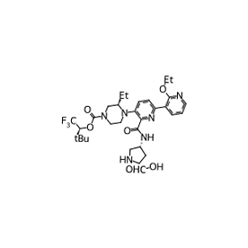 CCOc1ncccc1-c1ccc(N2CCN(C(=O)O[C@@H](C(C)(C)C)C(F)(F)F)C[C@H]2CC)c(C(=O)N[C@@H]2CCNC2)n1.O=CO